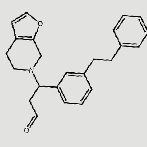 O=CCC(c1cccc(CCc2ccccc2)c1)N1CCc2ccoc2C1